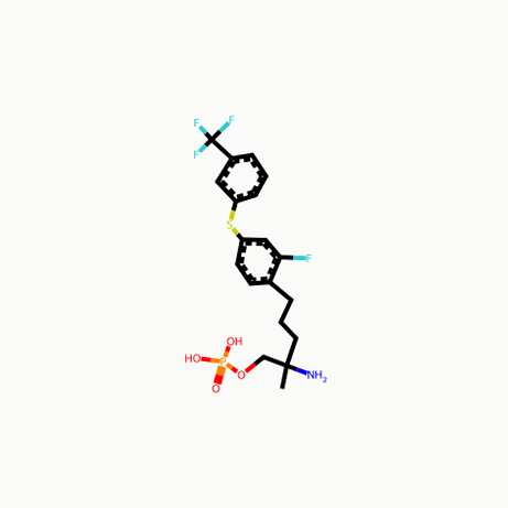 CC(N)(CCCc1ccc(Sc2cccc(C(F)(F)F)c2)cc1F)COP(=O)(O)O